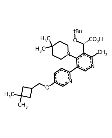 Cc1ncc(-c2ccc(OCC3CC(C)(C)C3)cn2)c(N2CCC(C)(C)CC2)c1[C@H](OC(C)(C)C)C(=O)O